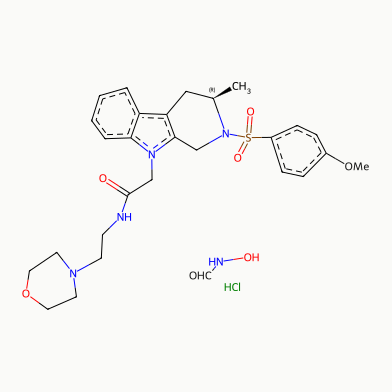 COc1ccc(S(=O)(=O)N2Cc3c(c4ccccc4n3CC(=O)NCCN3CCOCC3)C[C@H]2C)cc1.Cl.O=CNO